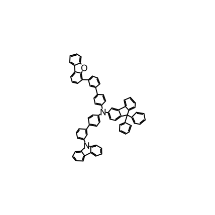 c1ccc(C2(c3ccccc3)c3ccccc3-c3cc(N(c4ccc(-c5cccc(-c6cccc7c6oc6ccccc67)c5)cc4)c4ccc(-c5cccc(-n6c7ccccc7c7ccccc76)c5)cc4)ccc32)cc1